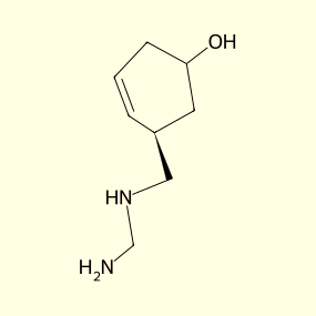 NCNC[C@H]1C=CCC(O)C1